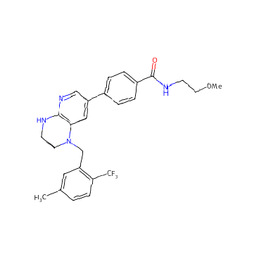 COCCNC(=O)c1ccc(-c2cnc3c(c2)N(Cc2cc(C)ccc2C(F)(F)F)CCN3)cc1